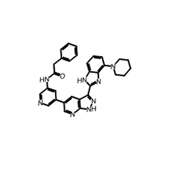 O=C(Cc1ccccc1)Nc1cncc(-c2cnc3[nH]nc(-c4nc5c(N6CCCCC6)cccc5[nH]4)c3c2)c1